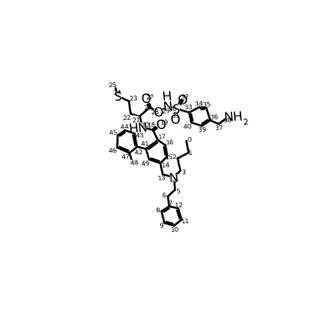 CCCCN(CCc1ccccc1)Cc1ccc(C(=O)N[C@@H](CCSC)C(=O)ONS(=O)(=O)c2ccc(CN)cc2)c(-c2ccccc2C)c1